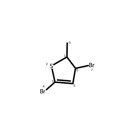 CC1SC(Br)=CC1Br